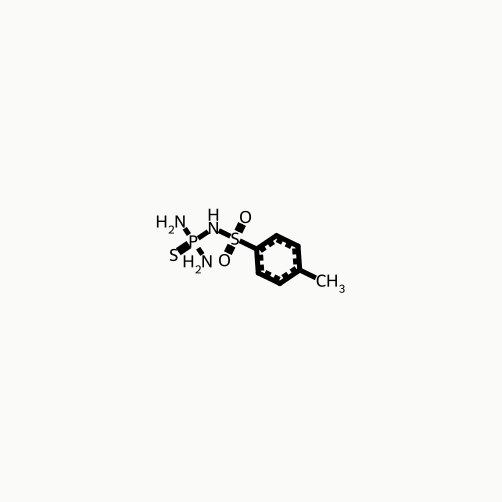 Cc1ccc(S(=O)(=O)NP(N)(N)=S)cc1